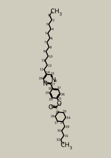 CCCCCCCCCCCCCCc1cnc(-c2ccc(OC(=O)[C@H]3CC[C@H](CCCCC)CC3)cc2)nc1